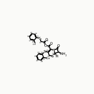 NC1C(=O)N2C(C(=O)OC(=O)CSc3ccccc3I)=C(Sc3ccccc3I)CS[C@@H]12